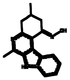 Cc1nc2c(c3c1[nH]c1ccccc13)C(=NO)CC(C)C2